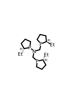 CC[C@@H]1CCCP1CN(CP1CCC[C@H]1CC)P1CCC[C@H]1CC